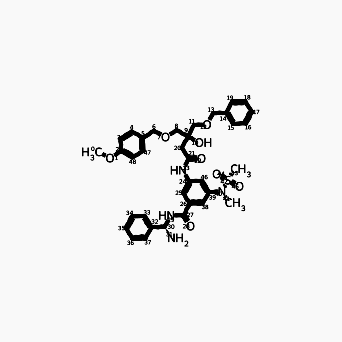 COc1ccc(COCC(O)(COCc2ccccc2)CC(=O)Nc2cc(C(=O)N[C@H](N)c3ccccc3)cc(N(C)S(C)(=O)=O)c2)cc1